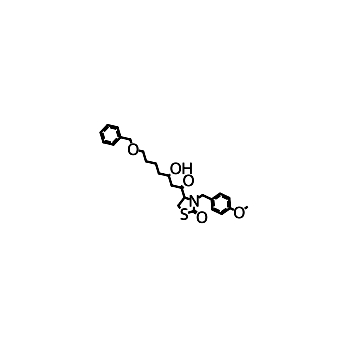 COc1ccc(CN2C(=O)SCC2C(=O)C[C@H](O)CCCCOCc2ccccc2)cc1